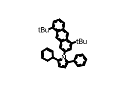 CC(C)(C)c1cccc2cc3c(C(C)(C)C)cc(-n4c(-c5ccccc5)ccc4C4C=CC=CC4)cc3cc12